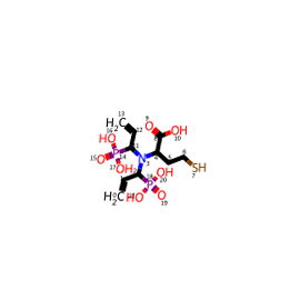 C=CC(N(C(CCS)C(=O)O)C(C=C)P(=O)(O)O)P(=O)(O)O